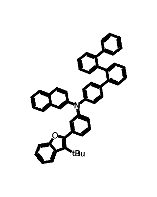 CC(C)(C)c1c(-c2cccc(N(c3ccc(-c4ccccc4-c4ccccc4-c4ccccc4)cc3)c3ccc4ccccc4c3)c2)oc2ccccc12